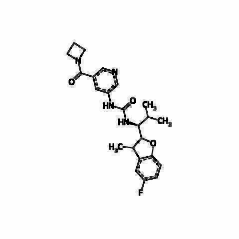 CC1c2cc(F)ccc2OC1[C@@H](NC(=O)Nc1cncc(C(=O)N2CCC2)c1)C(C)C